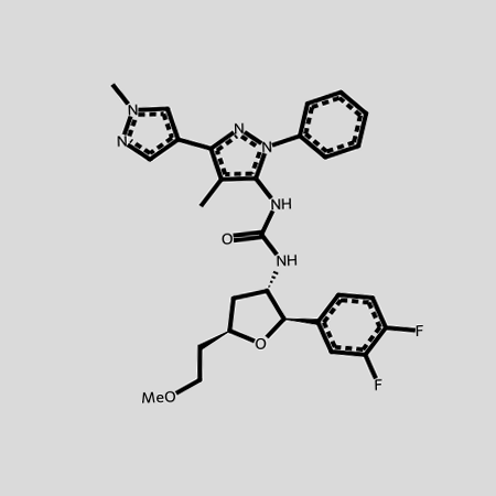 COCC[C@H]1C[C@H](NC(=O)Nc2c(C)c(-c3cnn(C)c3)nn2-c2ccccc2)[C@@H](c2ccc(F)c(F)c2)O1